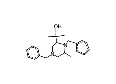 CC1CN(Cc2ccccc2)CC(C(C)(C)O)N1Cc1ccccc1